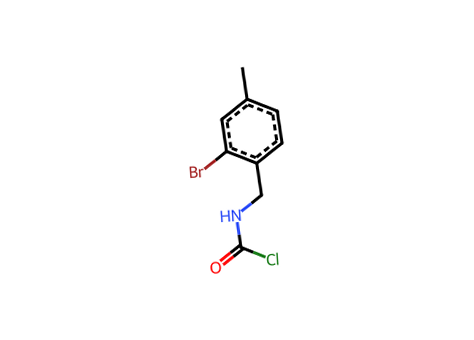 Cc1ccc(CNC(=O)Cl)c(Br)c1